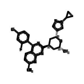 Cc1ccc2c(-c3ccc(Cl)cc3F)nc([C@@H]3C[C@@H](C)O[C@@H](c4cnn(C5CC5)c4)C3)nc2n1